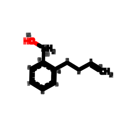 C=CCCc1ccccc1[SiH2]O